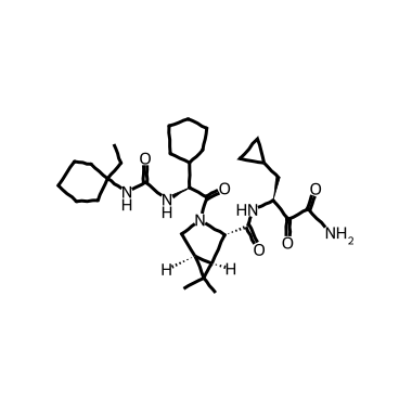 CCC1(NC(=O)N[C@H](C(=O)N2C[C@H]3[C@@H]([C@H]2C(=O)N[C@@H](CC2CC2)C(=O)C(N)=O)C3(C)C)C2CCCCC2)CCCCC1